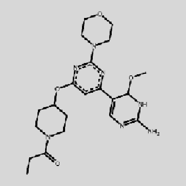 CCC(=O)N1CCC(Oc2cc(C3=CN=C(N)NC3OC)nc(N3CCOCC3)n2)CC1